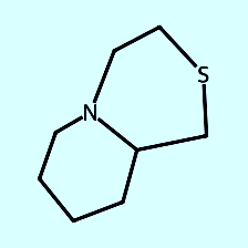 C1CCN2CCSCC2C1